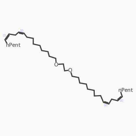 CCCCC/C=C\C/C=C\CCCCCCCCOCCOCCCCCCCC/C=C\C/C=C\CCCCC